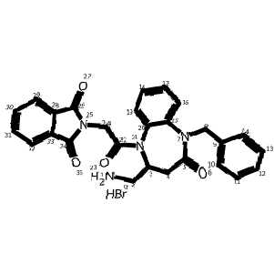 Br.NCC1CC(=O)N(Cc2ccccc2)c2ccccc2N1C(=O)CN1C(=O)c2ccccc2C1=O